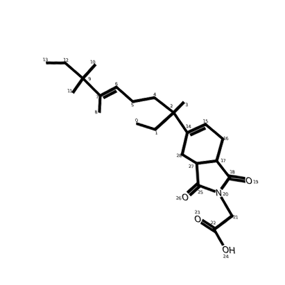 CCC(C)(CC/C=C(\C)C(C)(C)CC)C1=CCC2C(=O)N(CC(=O)O)C(=O)C2C1